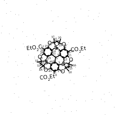 CCOC(=O)c1c2c(c([C](c3c4c(c(C(=O)OCC)c5c3SC(C)(C)O5)OC(C)(C)S4)c3c4c(c(C(=O)OCC)c5c3SC(C)(C)O5)OC(C)(C)S4)c3c1OC(C)(C)S3)SC(C)(C)O2